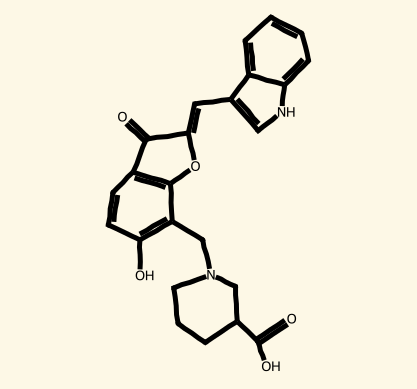 O=C1/C(=C/c2c[nH]c3ccccc23)Oc2c1ccc(O)c2CN1CCCC(C(=O)O)C1